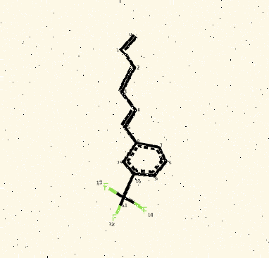 [CH]=C/C=C/C=C/c1cccc(C(F)(F)F)c1